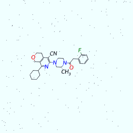 C[C@@H]1CN(c2nc(C3CCCCC3)c3c(c2C#N)CCOC3)CCN1C(=O)Cc1ccccc1F